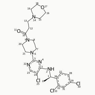 C[C@@H](Nc1nc(N2CCN(C(=O)CCN3CCOCC3)CC2)ncc1Cl)c1ccc(Cl)cc1Cl